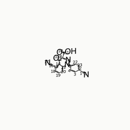 N#Cc1ccc(-n2nc(C(=O)O)c(=O)c3c(C#N)cccc32)cc1